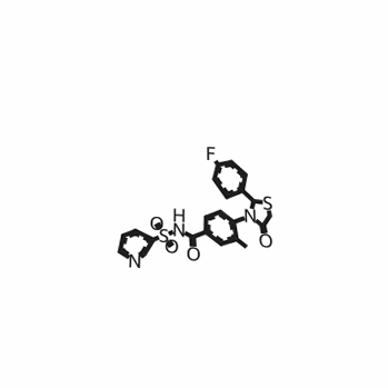 Cc1cc(C(=O)NS(=O)(=O)c2cccnc2)ccc1N1C(=O)CSC1c1ccc(F)cc1